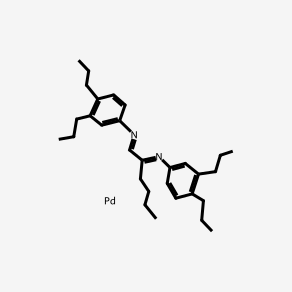 CCCCC(C=Nc1ccc(CCC)c(CCC)c1)=Nc1ccc(CCC)c(CCC)c1.[Pd]